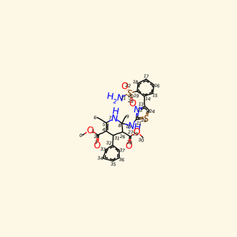 COC(=O)C1=C(C)NC(C)(Nc2nc(-c3ccccc3S(N)(=O)=O)cs2)C(C(=O)OC)C1c1ccccc1